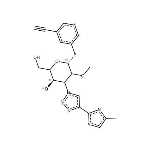 C#Cc1cncc(S[C@H]2OC(CO)[C@H](O)C(n3cc(-c4nc(C)cs4)nn3)C2OC)c1